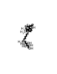 Cc1c(C)n(CCCCCCN(C)C[C@H](O)[C@H](O)[C@@H](O)[C@@H](O)CO)c2ccc3[nH]c(=O)cc(C(F)(F)F)c3c12